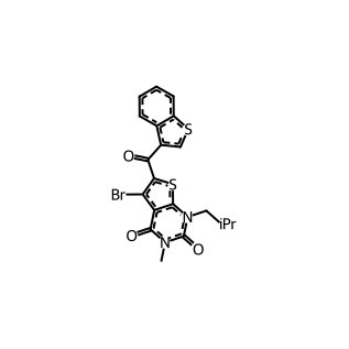 CC(C)Cn1c(=O)n(C)c(=O)c2c(Br)c(C(=O)c3csc4ccccc34)sc21